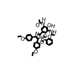 CCOc1ccc(-c2nc(-c3cc(NC(C)=O)c(O)c(NC(C)=O)c3)n(S(=O)(=O)c3ccccc3)c2-c2ccc(OCC)cc2)cc1